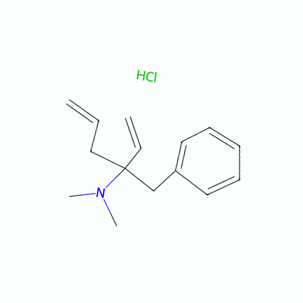 C=CCC(C=C)(Cc1ccccc1)N(C)C.Cl